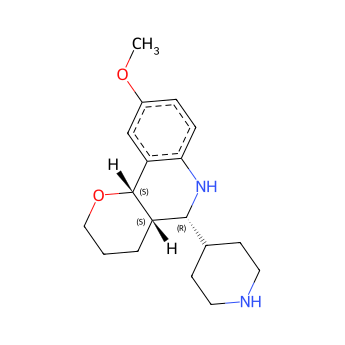 COc1ccc2c(c1)[C@H]1OCCC[C@H]1[C@@H](C1CCNCC1)N2